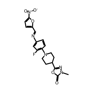 Cn1nc(C2CCN(c3ccc(N=Cc4ccc([N+](=O)[O-])o4)cc3F)CC2)oc1=O